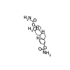 C[C@]12CC[C@@H]3c4ccc(OC(N)=O)cc4CC[C@H]3[C@@H]1CC[C@@H]2OC(=O)CN